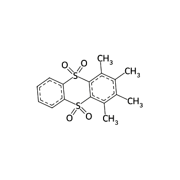 Cc1c(C)c(C)c2c(c1C)S(=O)(=O)c1ccccc1S2(=O)=O